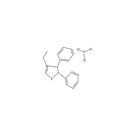 CC[N+]1=CSC(c2ccccc2)C1c1ccccc1.[O-][I+2]([O-])[O-]